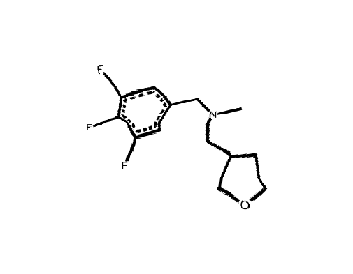 CN(Cc1cc(F)c(F)c(F)c1)CC1CCOC1